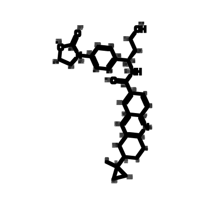 CC1(C2CCc3nc4ccc(C(=O)N[C@H](CCO)c5ccc(N6CCOC6=O)cc5)cc4cc3C2)CC1